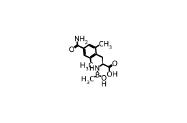 CB(O)N[C@@H](Cc1c(C)cc(C(N)=O)cc1C)C(=O)O